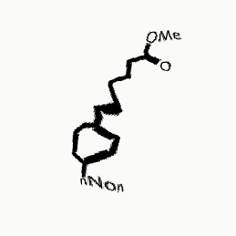 CCCCCCCCCc1ccc(C=CCCCC(=O)OC)cc1